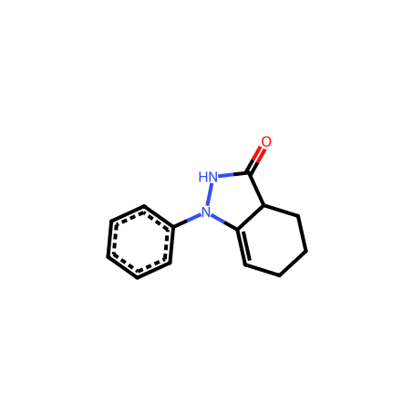 O=C1NN(c2ccccc2)C2=CCCCC12